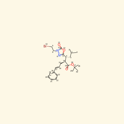 CC(C)C[C@@H](c1nn(CCBr)c(=O)o1)[C@H](C/C=C/c1ccccc1)C(=O)OC(C)(C)C